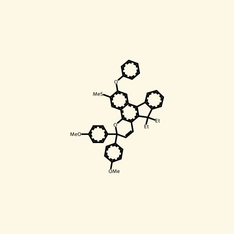 CCC1(CC)c2ccccc2-c2c1c1c(c3cc(SC)c(Oc4ccccc4)cc23)OC(c2ccc(OC)cc2)(c2ccc(OC)cc2)C=C1